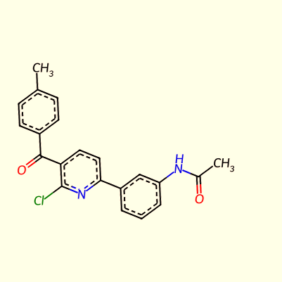 CC(=O)Nc1cccc(-c2ccc(C(=O)c3ccc(C)cc3)c(Cl)n2)c1